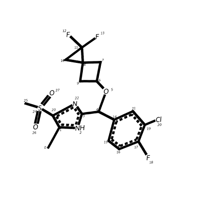 Cc1[nH]c(C(OC2CC3(C2)CC3(F)F)c2ccc(F)c(Cl)c2)nc1S(C)(=O)=O